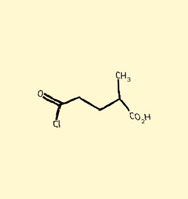 CC(CCC(=O)Cl)C(=O)O